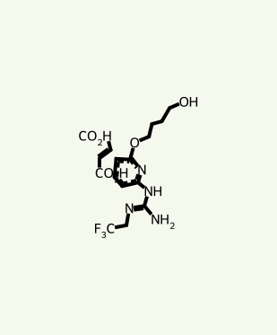 NC(=NCC(F)(F)F)Nc1cccc(OCCCCO)n1.O=C(O)C=CC(=O)O